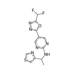 CC(Nc1ncc(-c2nnc(C(F)F)o2)cn1)c1cscn1